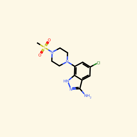 CS(=O)(=O)N1CCN(c2cc(Cl)cc3c(N)n[nH]c23)CC1